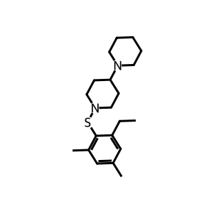 CCc1cc(C)cc(C)c1SN1CCC(N2CCCCC2)CC1